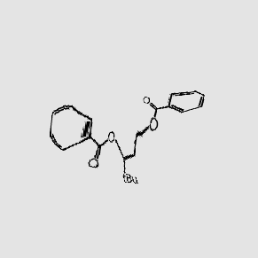 CC(C)(C)C(CCOC(=O)c1ccccc1)OC(=O)c1ccccc1